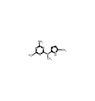 Cc1ccc(N(C)c2nc(N)nc(N)n2)[nH]1